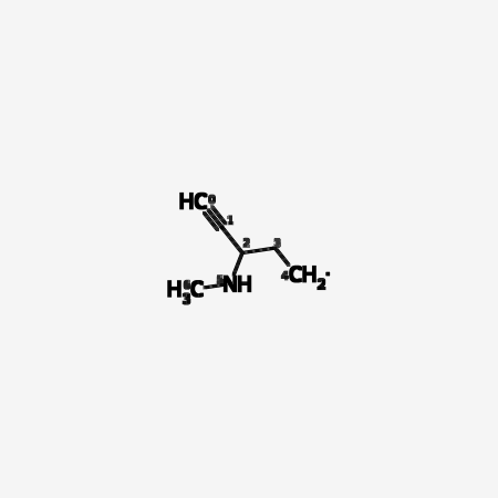 C#CC(C[CH2])NC